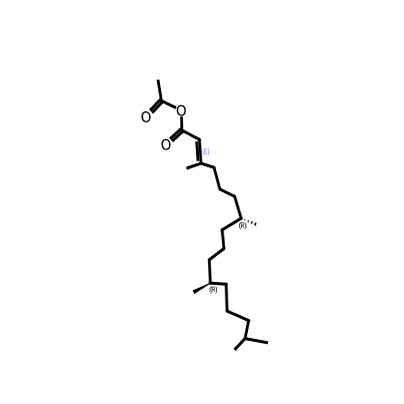 CC(=O)OC(=O)/C=C(\C)CCC[C@H](C)CCC[C@H](C)CCCC(C)C